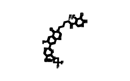 COc1cnc(-c2cc3ncn(CCC[C@H](C)Nc4cn[nH]c(=O)c4C(F)(F)F)c(=O)c3cc2F)nc1N1CC(F)(F)C1